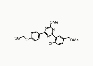 COCc1ccc(Cl)c(-c2nc(OC)nc(-c3ccc(OCC(C)(C)C)cc3)n2)c1